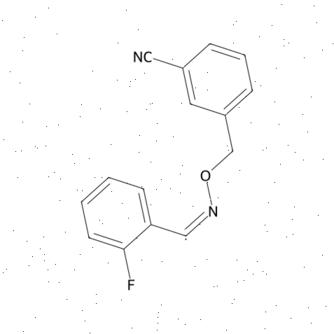 N#Cc1cccc(CO/N=[C]\c2ccccc2F)c1